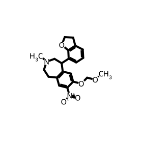 COCOc1cc2c(cc1[N+](=O)[O-])CCN(C)CC2c1cccc2c1OCC2